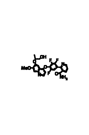 COc1cc2nccc(Oc3c(F)cc(-c4ncccc4C(N)=O)c(F)c3F)c2cc1OC(C)CO